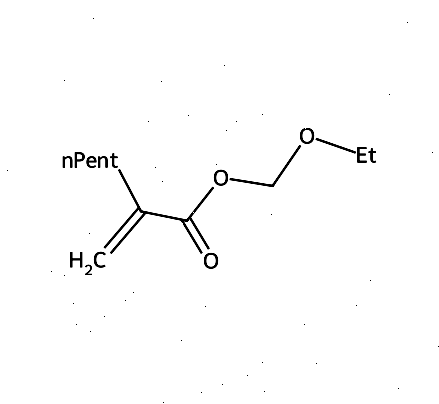 C=C(CCCCC)C(=O)OCOCC